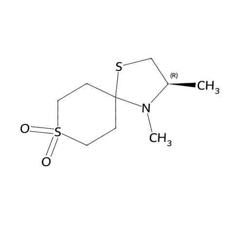 C[C@@H]1CSC2(CCS(=O)(=O)CC2)N1C